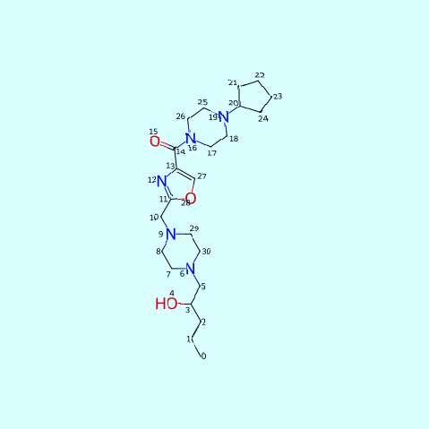 CCCC(O)CN1CCN(Cc2nc(C(=O)N3CCN(C4CCCC4)CC3)co2)CC1